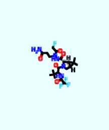 CC(C)(C)C(NC(=O)C(F)(F)F)C(=O)N1C[C@H]2[C@@H]([C@H]1C(=O)NN(CCC(N)=O)C(=O)CF)C2(C)C